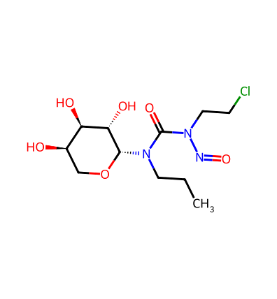 CCCN(C(=O)N(CCCl)N=O)[C@@H]1OC[C@@H](O)[C@@H](O)[C@@H]1O